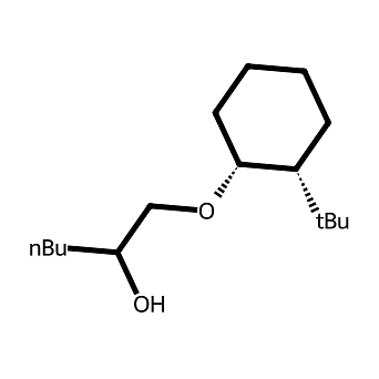 CCCCC(O)CO[C@@H]1CCCC[C@@H]1C(C)(C)C